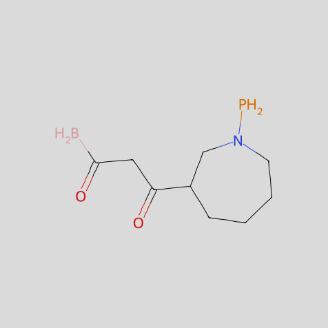 BC(=O)CC(=O)C1CCCCN(P)C1